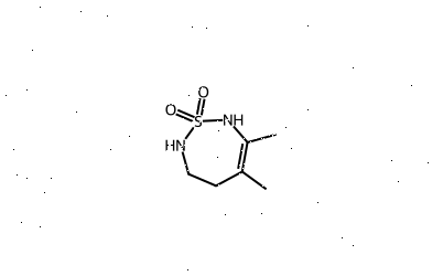 CC1=C(C)NS(=O)(=O)NCC1